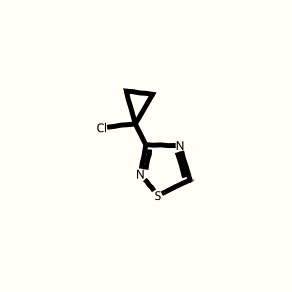 ClC1(c2n[c]sn2)CC1